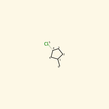 CC1CC[C@@H](Cl)C1